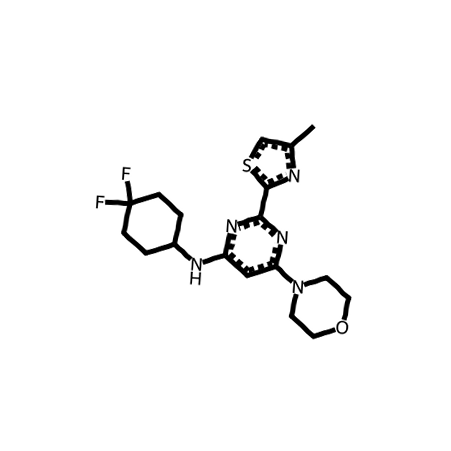 Cc1csc(-c2nc(NC3CCC(F)(F)CC3)cc(N3CCOCC3)n2)n1